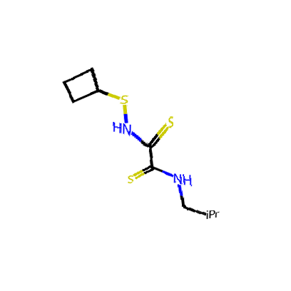 CC(C)CNC(=S)C(=S)NSC1CCC1